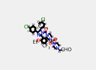 CCOc1cc(C(F)(F)F)ccc1C1=NC(c2ccc(Cl)cc2)C(c2ccc(Cl)cc2)N1C(=O)N1CCN(S(=O)(=O)N2CCN(CC=O)CC2)CC1